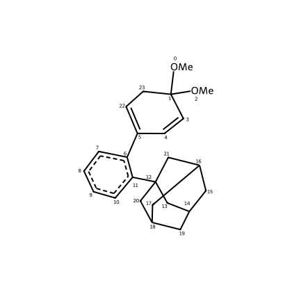 COC1(OC)C=CC(c2ccccc2C23CC4CC(CC(C4)C2)C3)=CC1